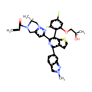 C=CC(=O)N1Cc2cc(-c3nc(-c4ccc5cn(C)nc5c4)c4ccsc4c3-c3c(F)cc(F)cc3OC[C@@H](C)O)nn2C[C@H]1C